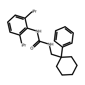 CC(C)c1cccc(C(C)C)c1NC(=O)NCC1(c2ccccc2)CCCCC1